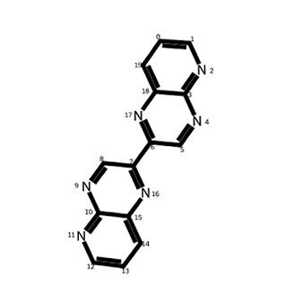 c1cnc2ncc(-c3cnc4ncccc4n3)nc2c1